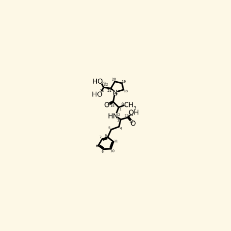 CC(NC(CCc1ccccc1)C(=O)O)C(=O)N1CCCC1C(O)O